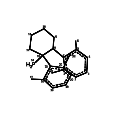 Cc1cccc(C)c1C1CCCCC1(P)c1c(C)cccc1C